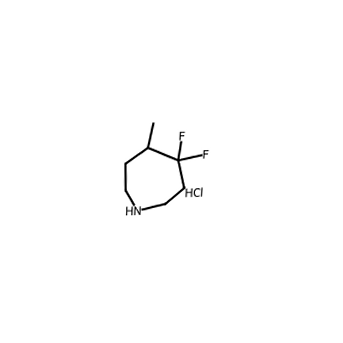 CC1CCNCCC1(F)F.Cl